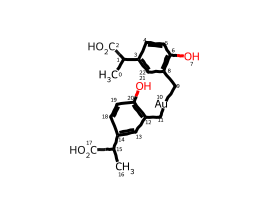 CC(C(=O)O)c1ccc(O)c([CH2][Au][CH2]c2cc(C(C)C(=O)O)ccc2O)c1